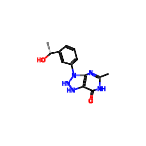 Cc1nc2c(c(=O)[nH]1)NNN2c1cccc([C@@H](C)O)c1